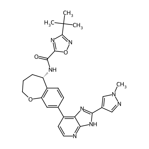 Cn1cc(-c2nc3c(-c4ccc5c(c4)OCCC[C@@H]5NC(=O)c4nc(C(C)(C)C)no4)ccnc3[nH]2)cn1